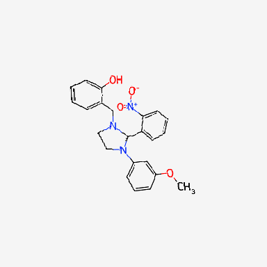 COc1cccc(N2CCN(Cc3ccccc3O)C2c2ccccc2[N+](=O)[O-])c1